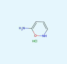 Cl.NC1=CC=CNO1